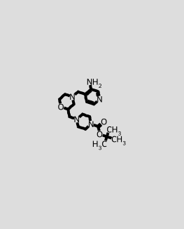 CC(C)(C)OC(=O)N1CCN(CC2CN(Cc3ccncc3N)CCO2)CC1